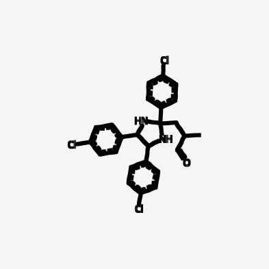 CC(C=O)CC1(c2ccc(Cl)cc2)NC(c2ccc(Cl)cc2)C(c2ccc(Cl)cc2)N1